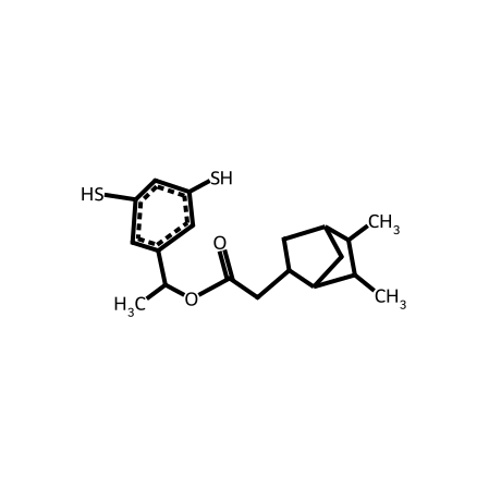 CC(OC(=O)CC1CC2CC1C(C)C2C)c1cc(S)cc(S)c1